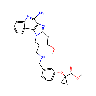 COCCc1nc2c(N)nc3ccccc3c2n1CCCNCc1cccc(OC2(C(=O)OC)CC2)c1